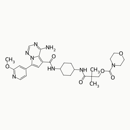 COc1cc(-c2cc(C(=O)NC3CCC(NC(=O)C(C)(C)COC(=O)N4CCOCC4)CC3)c3c(N)ncnn23)ccn1